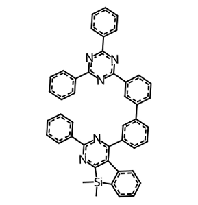 C[Si]1(C)c2ccccc2-c2c(-c3cccc(-c4cccc(-c5nc(-c6ccccc6)nc(-c6ccccc6)n5)c4)c3)nc(-c3ccccc3)nc21